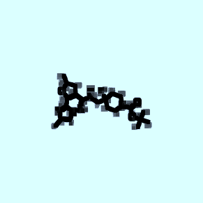 Cc1cn2nc(NCC3(F)CCN(C(=O)OC(C)(C)C)CC3)c3c(c2n1)OC(C)C3